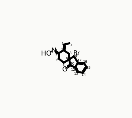 CC=C1CC2(CCC1=NO)C(=O)c1ccccc1C2Br